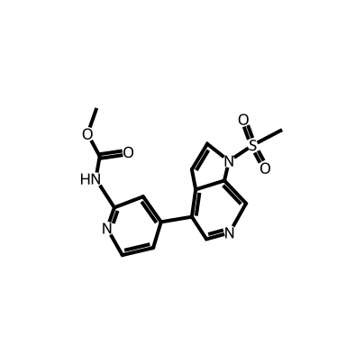 COC(=O)Nc1cc(-c2cncc3c2ccn3S(C)(=O)=O)ccn1